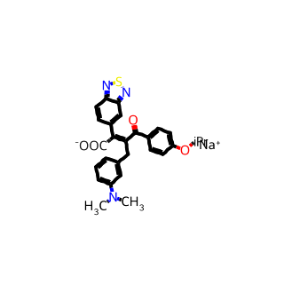 CC(C)Oc1ccc(C(=O)C(Cc2cccc(N(C)C)c2)=C(C(=O)[O-])c2ccc3nsnc3c2)cc1.[Na+]